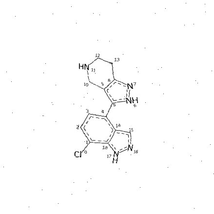 Clc1ccc(-c2[nH]nc3c2CNCC3)c2cn[nH]c12